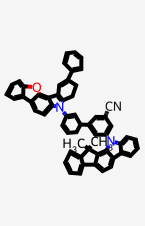 CC1(C)c2ccccc2-c2ccc3c4ccccc4n(-c4cc(C#N)cc(C5C=C(n6c7c(c8c9oc%10ccccc%10c9ccc86)C=C(c6ccccc6)CC7)C=CC5)c4)c3c21